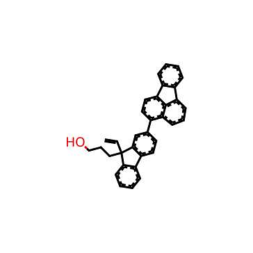 C=CC1(CCCO)c2ccccc2-c2ccc(-c3ccc4c5c(cccc35)-c3ccccc3-4)cc21